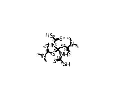 CN(C)C(=S)SC(NC(=S)S)(NC(=S)S)SC(=S)N(C)C